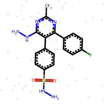 NNc1nc(C(F)(F)F)nc(-c2ccc(F)cc2)c1-c1ccc(S(=O)(=O)NN)cc1